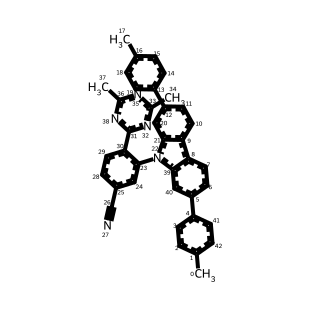 Cc1ccc(-c2ccc3c4ccc(-c5ccc(C)cc5)cc4n(-c4cc(C#N)ccc4-c4nc(C)nc(C)n4)c3c2)cc1